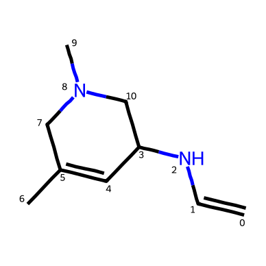 C=CNC1C=C(C)CN(C)C1